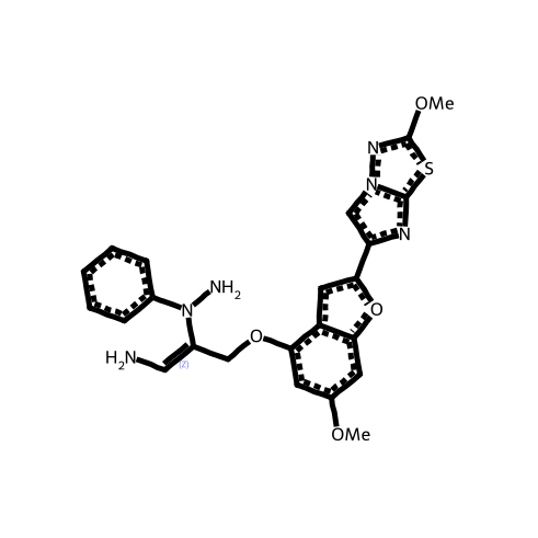 COc1cc(OC/C(=C/N)N(N)c2ccccc2)c2cc(-c3cn4nc(OC)sc4n3)oc2c1